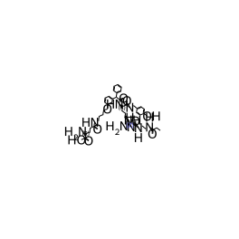 CCC(=O)NCCNC(=O)/N=C(/N)NCCC[C@@H](NC(=O)C(c1ccccc1)c1cccc(OCCCCNC(=O)CC[C@@H](N)C(=O)O)c1)C(=O)NCc1ccc(O)cc1